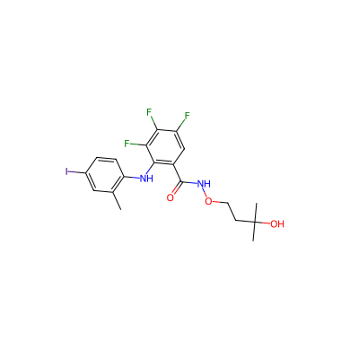 Cc1cc(I)ccc1Nc1c(C(=O)NOCCC(C)(C)O)cc(F)c(F)c1F